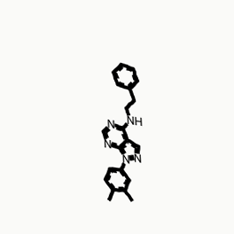 Cc1ccc(-n2ncc3c(NCCc4ccccc4)ncnc32)cc1C